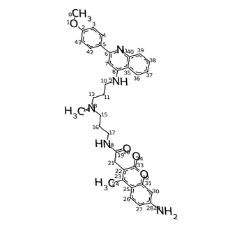 COc1ccc(-c2cc(NCCCN(C)CCCNC(=O)Cc3c(C)c4ccc(N)cc4oc3=O)c3ccccc3n2)cc1